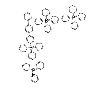 c1ccc(-c2ccccc2)cc1.c1ccc([B-](c2ccccc2)(c2ccccc2)c2ccccc2)cc1.c1ccc([B-](c2ccccc2)(c2ccccc2)c2ccccc2)cc1.c1ccc([P+](c2ccccc2)(c2ccccc2)C2CCCCC2)cc1.c1ccc([PH+](c2ccccc2)c2ccccc2)cc1